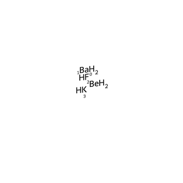 F.[BaH2].[BeH2].[KH]